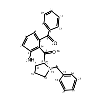 Nc1cccc(C(=O)c2ccccc2)c1C(=O)[C@@H]1CCCN1Cc1ccccc1